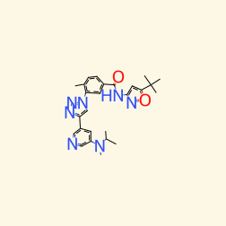 Cc1ccc(C(=O)Nc2cc(C(C)(C)C)on2)cc1-n1cc(-c2cncc(N(C)C(C)C)c2)nn1